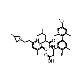 COc1cc(C)c(-c2cc(C)c(F)c(C(CC(=O)O)NC(=O)C(CC(C)C)n3nc(CCN4CC(F)C4)cc(C)c3=O)c2)c(C)c1